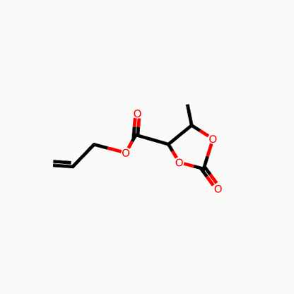 C=CCOC(=O)C1OC(=O)OC1C